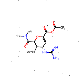 CCCN(CCC)C(=O)[C@@H]1OC(C(=O)OC(=O)C(F)(F)F)=C[C@H](NC(=N)N)[C@H]1NC(C)=O